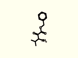 CC(C)[C](N)C(=O)C(=O)OCc1ccccc1